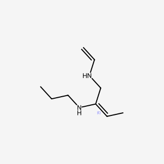 C=CNC/C(=C\C)NCCC